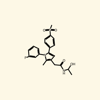 Cc1c(CC(=O)NC(C)O)cc(-c2ccc(S(C)(=O)=O)cc2)n1-c1cccc(F)c1